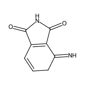 N=C1CC=CC2=C1C(=O)NC2=O